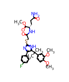 COC(=O)[C@H](CCC(N)=O)NC(=O)CSc1nc(-c2ccc(F)cc2)c(C(C)(C)c2ccc(OC)c(OC)c2)[nH]1